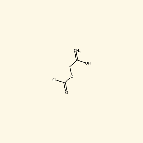 C=C(O)COC(=O)Cl